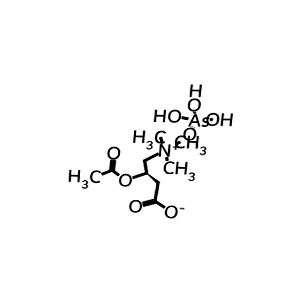 CC(=O)O[C@H](CC(=O)[O-])C[N+](C)(C)C.O=[As](O)(O)O